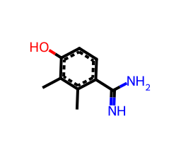 Cc1c(O)ccc(C(=N)N)c1C